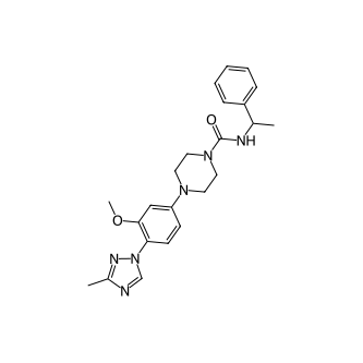 COc1cc(N2CCN(C(=O)NC(C)c3ccccc3)CC2)ccc1-n1cnc(C)n1